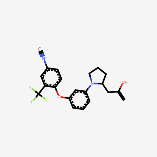 [C-]#[N+]c1ccc(Oc2cccc(N3CCCC3CC(=C)O)c2)c(C(F)(F)F)c1